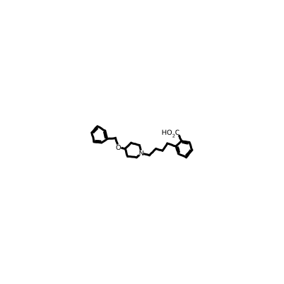 O=C(O)c1ccccc1CCCCN1CCC(OCc2ccccc2)CC1